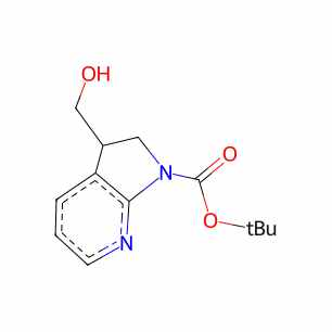 CC(C)(C)OC(=O)N1CC(CO)c2cccnc21